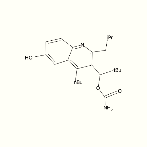 CCCCc1c(C(OC(N)=O)C(C)(C)C)c(CC(C)C)nc2ccc(O)cc12